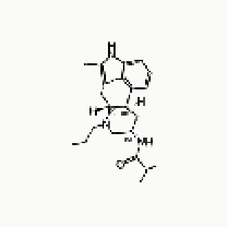 CCCN1C[C@@H](NC(=O)C(C)C)C[C@@H]2c3cccc4[nH]c(C)c(c34)C[C@H]21